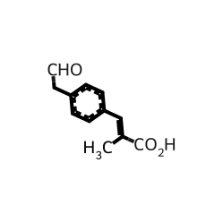 CC(=Cc1ccc(CC=O)cc1)C(=O)O